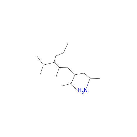 CCCC(C(C)C)C(C)CC(CC(C)N)C(C)C